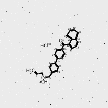 C=CCN(C)Cc1ccc(-c2ccc(C(=O)c3cccc4ccccc34)cc2)cc1.Cl